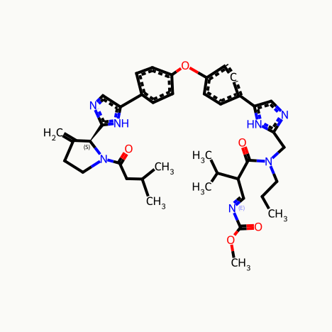 C=C1CCN(C(=O)CC(C)C)[C@@H]1c1ncc(-c2ccc(Oc3ccc(-c4cnc(CN(CCC)C(=O)C(/C=N/C(=O)OC)C(C)C)[nH]4)cc3)cc2)[nH]1